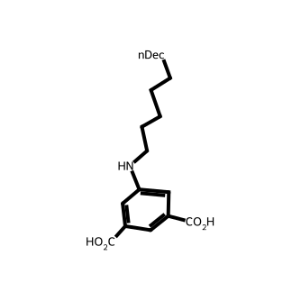 CCCCCCCCCCCCCCCNc1cc(C(=O)O)cc(C(=O)O)c1